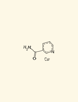 NC(=O)c1cccnc1.[Cu]